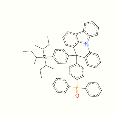 CCC(C)[Si](c1ccc(C2(c3ccc(P(=O)(c4ccccc4)c4ccccc4)cc3)c3ccccc3-n3c4ccccc4c4cccc2c43)cc1)(C(C)CC)C(C)CC